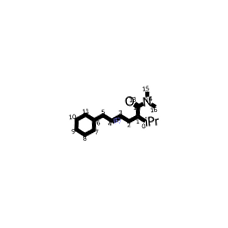 CC(C)C(C/C=C/CC1CCCCC1)C(=O)N(C)C